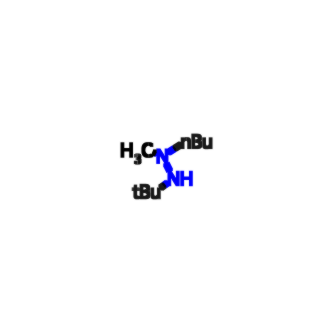 CCCCN(C)NC(C)(C)C